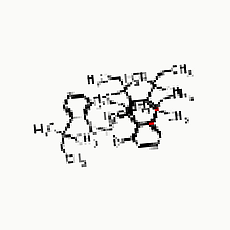 CCC(C)(C)c1ccccc1OP(Oc1cccc(C(C)(C)CC)c1C(C)(C)CC)Oc1cccc(C(C)(C)CC)c1C(C)(C)CC